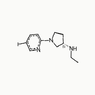 CCN[C@H]1CCN(c2ccc(I)cn2)C1